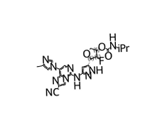 Cc1cn(-c2cnc(Nc3cc([C@@H]4OC[C@H](OC(=O)NC(C)C)[C@H]4F)[nH]n3)n3cc(C#N)nc23)cn1